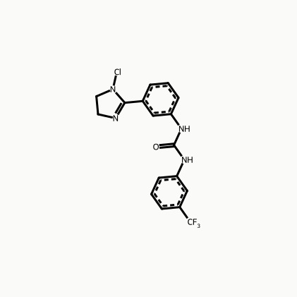 O=C(Nc1cccc(C2=NCCN2Cl)c1)Nc1cccc(C(F)(F)F)c1